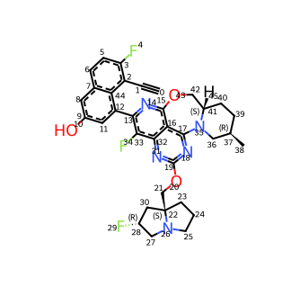 C#Cc1c(F)ccc2cc(O)cc(-c3nc4c5c(nc(OC[C@@]67CCCN6C[C@H](F)C7)nc5c3F)N3C[C@H](C)CC[C@H]3CO4)c12